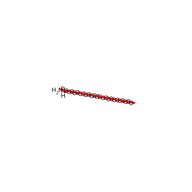 CCCOCCOCCOCCOCCOCCOCCOCCOCCOCCOCCOCCOCCOCCOCCOCCOCCOCCOCCOCCOCCOCCOCCOCCOCCNC(=O)CN